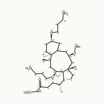 CCCCCCCCNC(=O)CC[C@@H](C)[C@H]1CC[C@H]2C[C@H](OCCCC)CC3C[C@H](OCCCN)CC[C@]3(C)[C@H](C)C[C@H](OCCCN)[C@@]21C